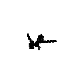 CCCCCCCCCCCC(OC(=O)OC(C)C)[N+]1(C)CCC=C(c2nsnc2OCCCCCC)C1.[I-]